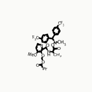 COc1ccnc(C(=O)NC(C)C(=O)ON(C)C(c2ccc(C(F)(F)F)cc2)c2ccc(C(F)(F)F)cc2)c1OCOC(=O)C(C)C